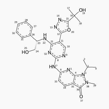 CC(C)n1c2nc(Nc3ncc(-c4nnc(C(C)(C)O)o4)c(N[C@H](CO)c4ccccc4)n3)ccc2c(=O)n1C